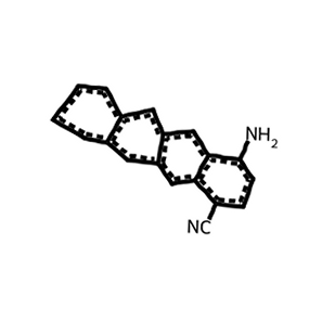 N#Cc1ccc(N)c2cc3cc4ccccc4cc3cc12